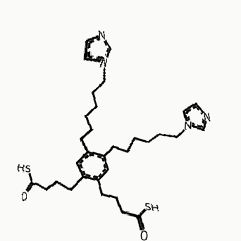 O=C(S)CCCc1cc(CCCCCCn2ccnc2)c(CCCCCCn2ccnc2)cc1CCCC(=O)S